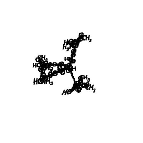 COc1ccc(C(OC[C@@H]2C[C@@H](O)CN2C(=O)CCCCCCCCCCC(=O)NC(COCCC(=O)NCCOCCOCCOC2OC(COC(C)=O)CC(O)C2N)(COCCC(=O)NCCOCCOCCOC2OC(COC(C)=O)CC(O)C2N)COCCC(=O)NCCOCCOCCOC2OC(COC(C)=O)C(O)C(O)C2N)(c2ccccc2)c2ccc(OC)cc2)cc1